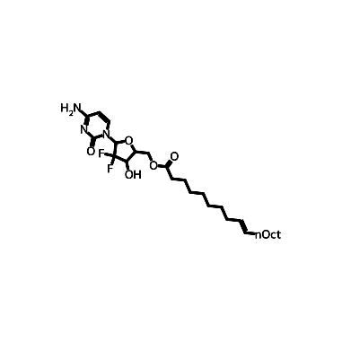 CCCCCCCC/C=C/CCCCCCCC(=O)OCC1OC(n2ccc(N)nc2=O)C(F)(F)C1O